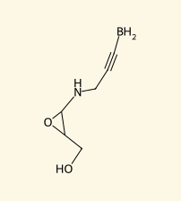 BC#CCNC1OC1CO